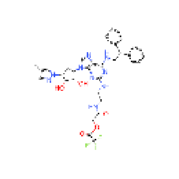 Cc1cnn([C@H]2C[C@@H](n3cnc4c(NCC(c5ccccc5)c5ccccc5)nc(NCCNC(=O)COC(=O)C(F)(F)F)nc43)[C@H](O)[C@@H]2O)c1